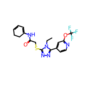 CCn1c(SCC(=O)NC2=CC=CCC2)nnc1-c1ccnc(OC(F)(F)F)c1